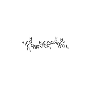 C=C(C)C(=O)OCC(O)COc1ccc(C(C)(C)c2ccc(OC[C@H](O)COC(O)C(=C)C)cc2)cc1